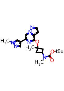 CN(C(=O)OC(C)(C)C)C1CC(C)(Oc2nc(-c3cnn(C)c3)cn3nccc23)C1